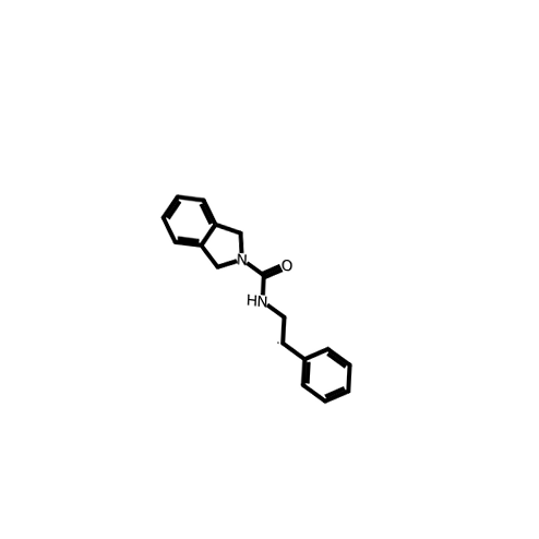 O=C(NC[CH]c1ccccc1)N1Cc2ccccc2C1